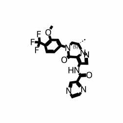 COc1cc(N2C[C@H](C)n3ncc(NC(=O)c4cnccn4)c3C2=O)ccc1C(F)(F)F